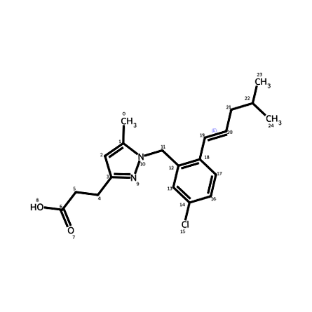 Cc1cc(CCC(=O)O)nn1Cc1cc(Cl)ccc1/C=C/CC(C)C